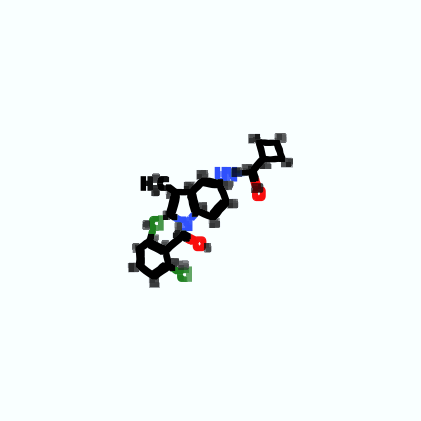 Cc1cn(C(=O)c2c(Cl)cccc2Cl)c2ccc(NC(=O)C3CCC3)cc12